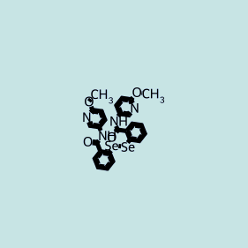 COc1ccc(NC(=O)c2ccccc2[Se][Se]c2ccccc2C(=O)Nc2ccc(OC)nc2)cn1